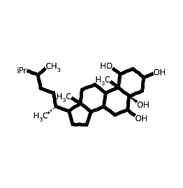 CC(C)C(C)CC[C@@H](C)C1CCC2C3CC(O)[C@@]4(O)CC(O)CC(O)C4(C)C3CCC21C